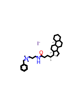 C[C@H](CCC(=O)NCCC[N+](C)(C)Cc1ccccc1)[C@H]1CCC2C3CCC4CCCC[C@]4(C)C3CC[C@@]21C.[I-]